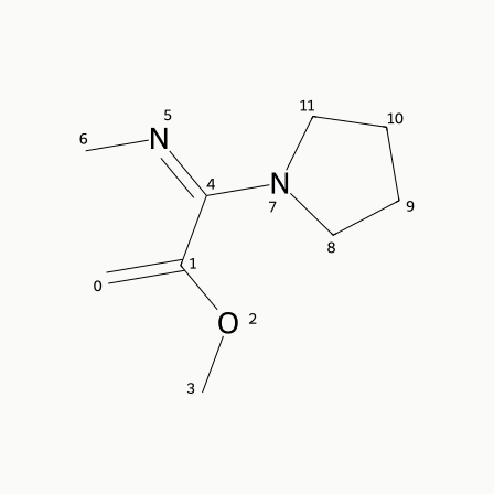 C=C(OC)/C(=N\C)N1CCCC1